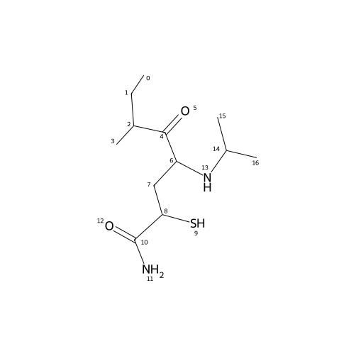 CCC(C)C(=O)C(CC(S)C(N)=O)NC(C)C